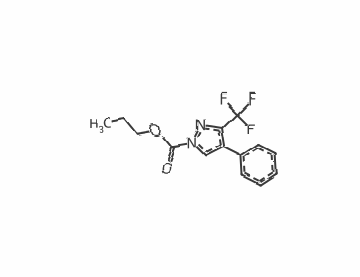 CCCOC(=O)n1cc(-c2ccccc2)c(C(F)(F)F)n1